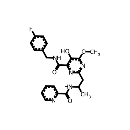 COc1nc(CC(C)NC(=O)c2ccccn2)nc(C(=O)NCc2ccc(F)cc2)c1O